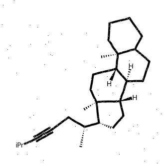 CC(C)C#CC[C@@H](C)[C@H]1CC[C@H]2[C@@H]3CCC4CCCC[C@]4(C)[C@H]3CC[C@]12C